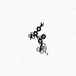 CC(=O)NCC(=O)N1CC[C@H](NCc2cc(-c3ccc(C#N)cc3)ccc2OC(F)(F)F)[C@H](c2ccccc2)C1